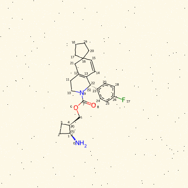 N[C@H]1CC[C@H]1COC(=O)N1CCC2=C(C=CC3(CCCC3)C2)[C@@H]1c1ccc(F)cc1